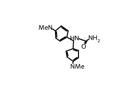 CNc1ccc(C(NC(N)=O)c2ccc(NC)cc2)cc1